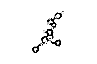 O=C1CCN(c2ncnc3c2CCN3c2cc(F)c(-c3ccc(OCc4ccccc4)nc3OCc3ccccc3)c(F)c2)CC1